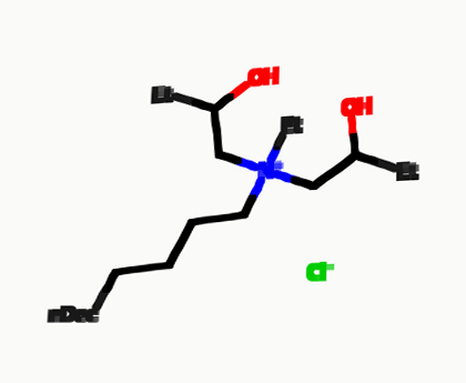 CCCCCCCCCCCCCC[N+](CC)(CC(O)CC)CC(O)CC.[Cl-]